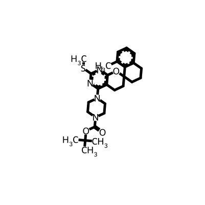 CSc1nc2c(c(N3CCN(C(=O)OC(C)(C)C)CC3)n1)CCC1(CCCc3cccc(C)c31)O2